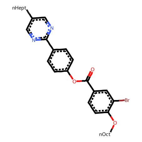 CCCCCCCCOc1ccc(C(=O)Oc2ccc(-c3ncc(CCCCCCC)cn3)cc2)cc1Br